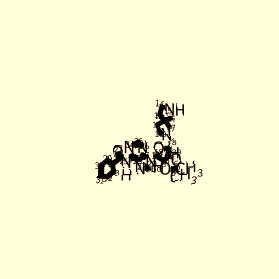 CC1(C)O[C@@H]2[C@H](O1)[C@@H](CN1CCC3(CCNC3)C1)O[C@H]2n1cnc2c(NC(=O)c3ccccc3)ncnc21